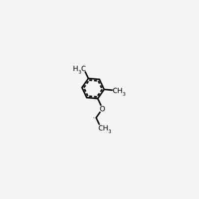 C[CH]Oc1ccc(C)cc1C